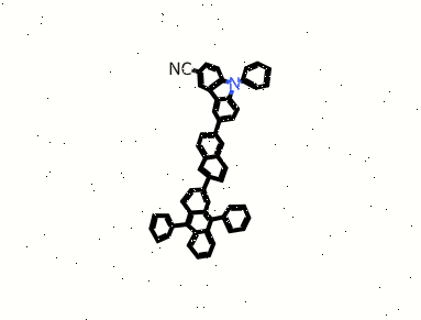 N#Cc1ccc2c(c1)c1cc(-c3ccc4cc(-c5ccc6c(-c7ccccc7)c7ccccc7c(-c7ccccc7)c6c5)ccc4c3)ccc1n2-c1ccccc1